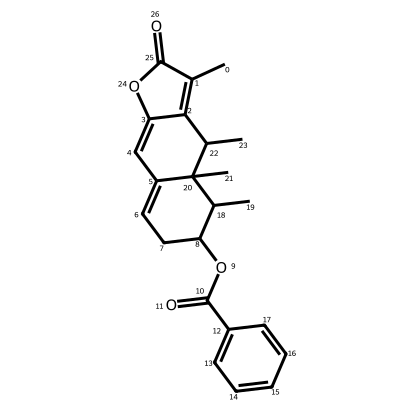 CC1=C2C(=CC3=CCC(OC(=O)c4ccccc4)C(C)C3(C)C2C)OC1=O